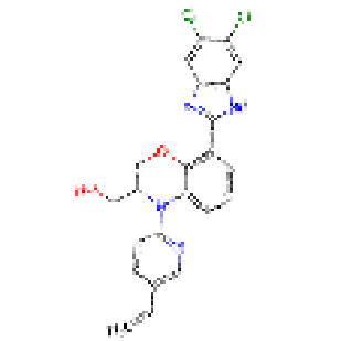 C=Cc1ccc(N2c3cccc(-c4nc5cc(Cl)c(Cl)cc5[nH]4)c3OCC2CO)nc1